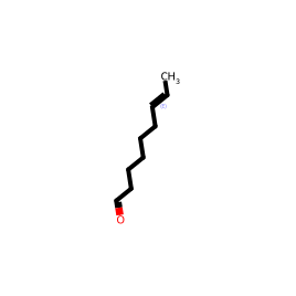 C/C=C/CCCCCC=O